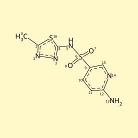 Cc1nnc(NS(=O)(=O)c2ccc(N)nc2)s1